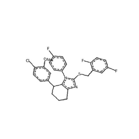 COc1cc(C2CCCc3nc(SCc4cc(F)ccc4F)n(-c4ccc(F)cc4)c32)ccc1Cl